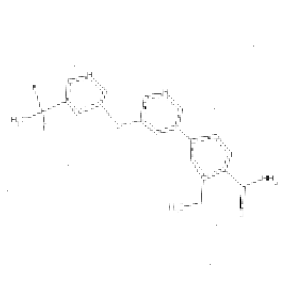 CCc1cc(-c2cncc(Oc3cncc(C(C)(F)F)c3)c2)ccc1C(N)=O